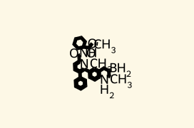 BC(CC)Cc1c(N)ccc(-c2nc(C(=O)NC3(C(=O)OC)CCCCC3)ccc2-c2ccccc2)c1C